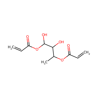 C=CC(=O)OC(C)C(O)C(O)OC(=O)C=C